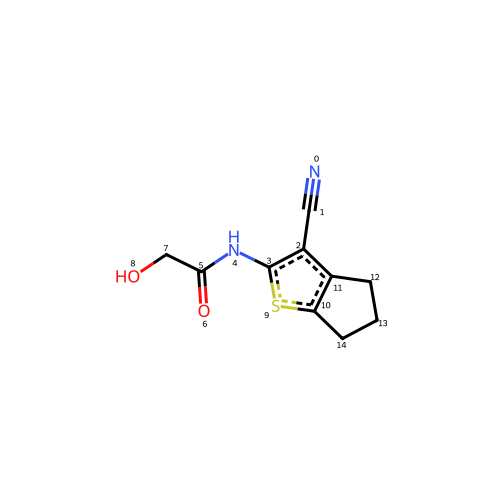 N#Cc1c(NC(=O)CO)sc2c1CCC2